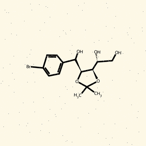 CC1(C)O[C@H]([C@H](O)CO)[C@H](C(O)c2ccc(Br)cc2)O1